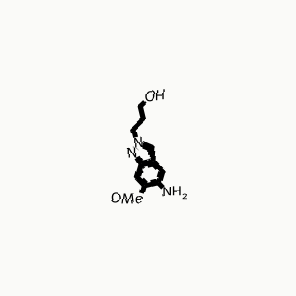 COc1cc2nn(CCCO)cc2cc1N